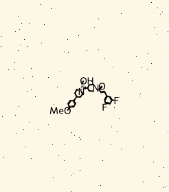 COc1ccc(C2CCN([C@H](CO)C3CCN(C(=O)C=Cc4cc(F)cc(F)c4)CC3)CC2)cc1